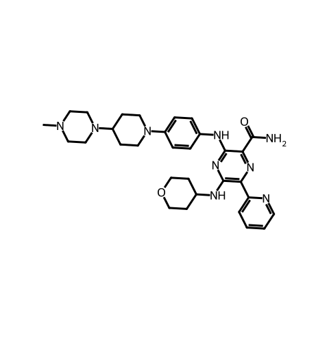 CN1CCN(C2CCN(c3ccc(Nc4nc(NC5CCOCC5)c(-c5ccccn5)nc4C(N)=O)cc3)CC2)CC1